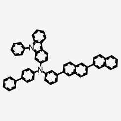 c1ccc(-c2ccc(N(c3cccc(-c4ccc5cc(-c6ccc7ccccc7c6)ccc5c4)c3)c3ccc4c5ccccc5n(-c5ccccc5)c4c3)cc2)cc1